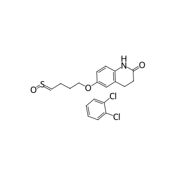 Clc1ccccc1Cl.O=S=CCCCOc1ccc2c(c1)CCC(=O)N2